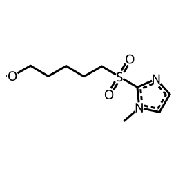 Cn1ccnc1S(=O)(=O)CCCCC[O]